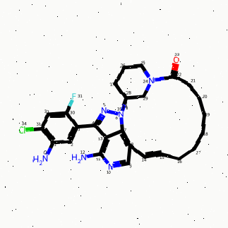 Nc1cc(-c2nn3c4c(cnc(N)c24)/C=C/CCCCCCC(=O)N2CCC[C@@H]3C2)c(F)cc1Cl